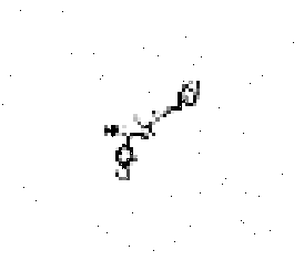 Cn1c(C(O)c2ccc(Cl)cc2)cnc1SCCCN1CCOCC1